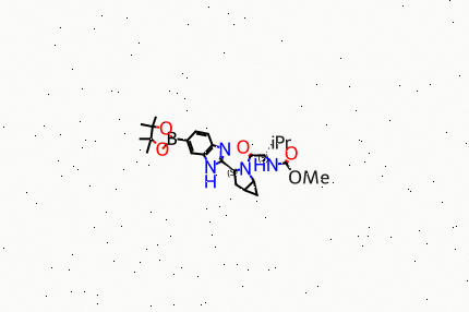 COC(=O)N[C@H](C(=O)N1C2CC2C[C@H]1c1nc2ccc(B3OC(C)(C)C(C)(C)O3)cc2[nH]1)C(C)C